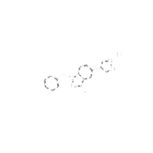 Cn1cc(-c2ccc3c(c2)c(I)nn3Cc2ccccc2)cn1